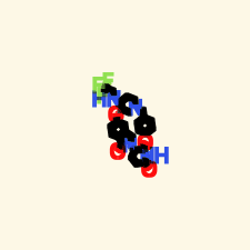 O=C1CCC(N2Cc3cc(O[C@H]4CN(Cc5ccccc5)CC[C@@H]4NCC(F)(F)F)ccc3C2=O)C(=O)N1